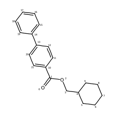 O=C(OCC1CCCCC1)c1ccc(-c2ccccc2)cc1